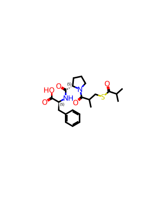 CC(C)C(=O)SCC(C)C(=O)N1CCC[C@H]1C(=O)N[C@@H](Cc1ccccc1)C(=O)O